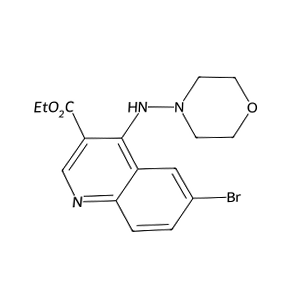 CCOC(=O)c1cnc2ccc(Br)cc2c1NN1CCOCC1